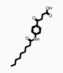 CCCCCCCCC(=O)Nc1ccc(C(=O)CCC(=O)O)cc1